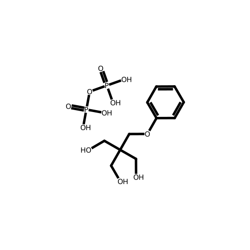 O=P(O)(O)OP(=O)(O)O.OCC(CO)(CO)COc1ccccc1